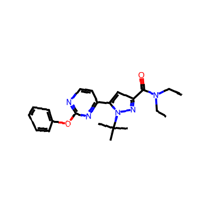 CCN(CC)C(=O)c1cc(-c2ccnc(Oc3ccccc3)n2)n(C(C)(C)C)n1